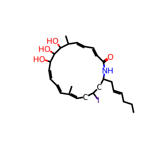 CCC/C=C/CC1CC(I)C/C=C(C)/C=C/C=C\C(O)C(O)C(O)C(C)/C=C/C=C/C(=O)N1